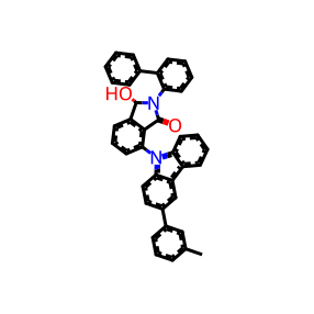 Cc1cccc(-c2ccc3c(c2)c2ccccc2n3-c2cccc3c2C(=O)N(c2ccccc2-c2ccccc2)C3O)c1